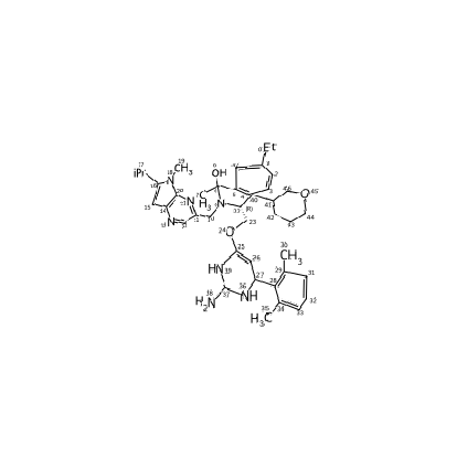 CCc1cccc(C(C)(O)N(Cc2cnc3cc(C(C)C)n(C)c3n2)[C@@H](COC2=CC(c3c(C)cccc3C)NC(N)N2)CC2CCCOC2)c1